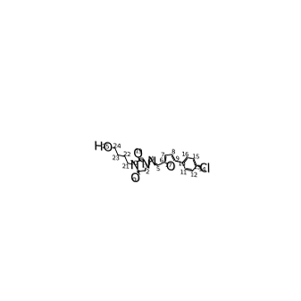 O=C1CN(N=Cc2ccc(-c3ccc(Cl)cc3)o2)C(=O)N1CCCCO